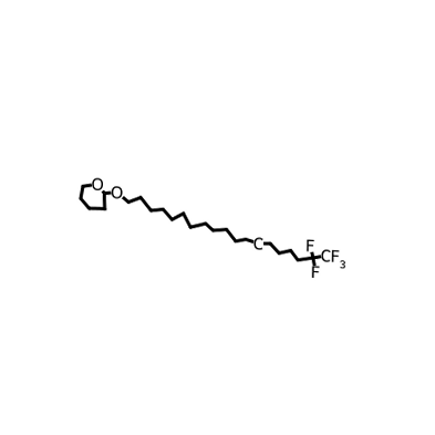 FC(F)(F)C(F)(F)CCCCCCCCCCCCCCCCCOC1CCCCO1